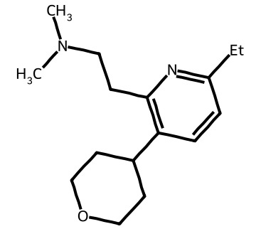 CCc1ccc(C2CCOCC2)c(CCN(C)C)n1